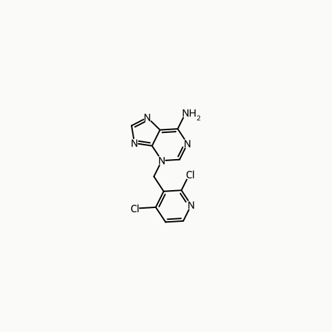 Nc1ncn(Cc2c(Cl)ccnc2Cl)c2ncnc1-2